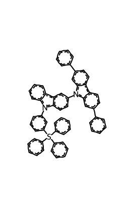 c1ccc(-c2ccc3c4ccc(-c5ccccc5)cc4n(-c4ccc5c(c4)c4ccccc4n5-c4cccc(S(c5ccccc5)(c5ccccc5)c5ccccc5)c4)c3c2)cc1